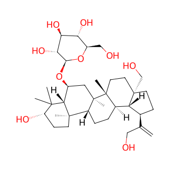 C=C(CO)[C@@H]1CC[C@]2(CO)CC[C@]3(C)[C@H](CC[C@@H]4[C@@]5(C)CC[C@H](O)C(C)(C)[C@@H]5[C@@H](O[C@@H]5O[C@H](CO)[C@@H](O)[C@H](O)[C@H]5O)C[C@]43C)[C@@H]12